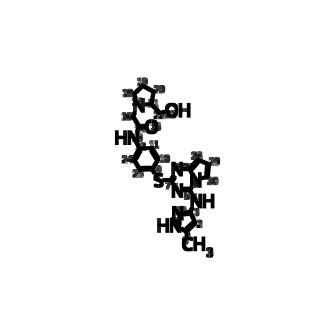 Cc1cc(Nc2nc(Sc3ccc(NC(=O)CN4CCCC4CO)cc3)nc3cccn23)n[nH]1